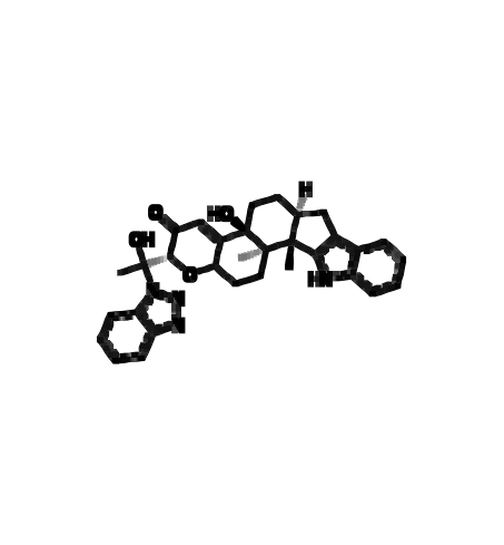 CC(O)([C@H]1OC2CC[C@@]3(C)[C@@](O)(CC[C@H]4Cc5c([nH]c6ccccc56)[C@@]43C)C2=CC1=O)n1nnc2ccccc21